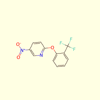 O=[N+]([O-])c1ccc(Oc2ccccc2C(F)(F)F)nc1